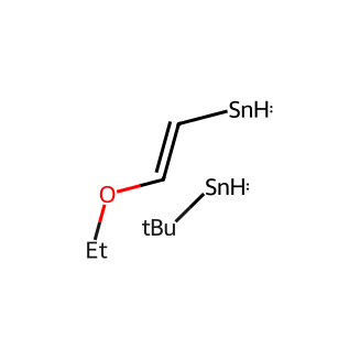 CCOC=[CH][SnH].C[C](C)(C)[SnH]